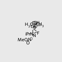 COC(=O)N1CC[C@@H](c2nc3c(F)cc(B4OC(C)(C)C(C)(C)O4)cc3n2C(C)C)C1